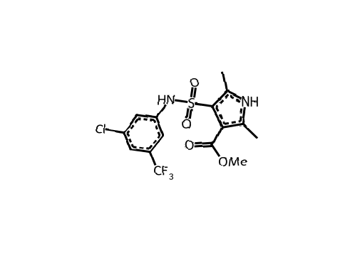 COC(=O)c1c(C)[nH]c(C)c1S(=O)(=O)Nc1cc(Cl)cc(C(F)(F)F)c1